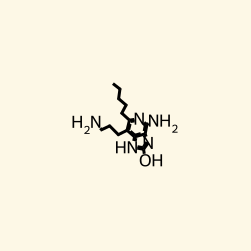 CCCCCc1nc(N)c2nc(O)[nH]c2c1CCCN